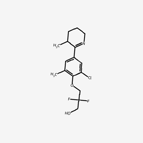 Cc1cc(C2=NCCCC2C)cc(Cl)c1OCC(F)(F)CO